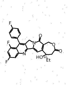 CC[C@@]1(O)CC(=O)OCc2c1cc1n(c2=O)Cc2c-1nc1cc(F)cc(F)c1c2-c1ccc(F)cc1